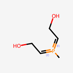 C/P(=C\CO)=C/CO